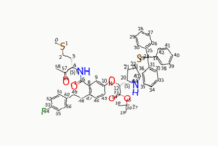 CSCC[C@H](NC(=O)c1cc(OC(C(=O)OC(C)(C)C)[C@@H]2C[C@H](SC(c3ccccc3)(c3ccccc3)c3ccccc3)CN2)ccc1CCc1ccc(F)cc1)C(C)=O